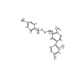 Cc1cnc(-c2ccc(Cl)cc2Cl)nc1NCCNc1ccc(C#N)cn1